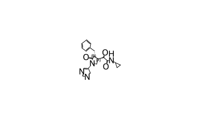 O=C(NC1CC1)C(=O)[C@H]1CN(c2cncnc2)C(=O)[C@@H]1Cc1ccccc1